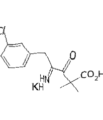 CC(C)(C(=O)O)C(=O)C(=N)Cc1cccc(Cl)c1.[KH]